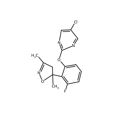 CC1=NOC(C)(c2c(F)cccc2Oc2ncc(Cl)cn2)C1